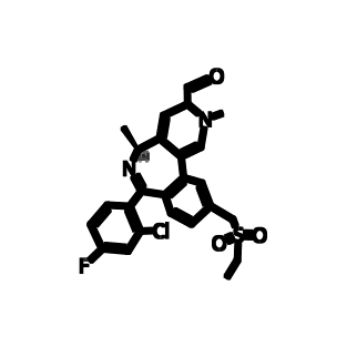 CCS(=O)(=O)Cc1ccc2c(c1)C1=CN(C)C(C=O)C=C1[C@H](C)N=C2c1ccc(F)cc1Cl